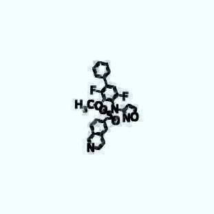 COc1c(F)c(-c2ccccc2)cc(F)c1N(c1ccon1)S(=O)(=O)c1ccc2cnccc2c1